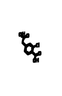 O=C(O)c1ccc(C[SH](=O)=O)cc1Cl